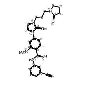 C#Cc1cccc(NC(=N)c2ccc(-n3ccn(CCCN4CCCC4=O)c3=O)cc2NC)c1